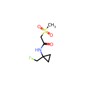 CS(=O)(=O)CC(=O)NC1(CF)CC1